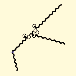 CCCCCCCC/C=C\CCCCCCCC(=O)OC[C@H](COC(=O)CCCCCCCCCCCCCCC)OC(=O)CCCCCCCCCCCCC